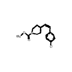 CC(C)(C)OC(=O)N1CCC(/C=C\c2ccc(Cl)cc2)CC1